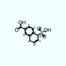 O=C(O)c1ccc2c(c1)CC=[C]C2S(=O)(=O)O